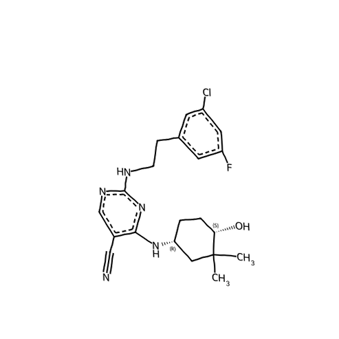 CC1(C)C[C@H](Nc2nc(NCCc3cc(F)cc(Cl)c3)ncc2C#N)CC[C@@H]1O